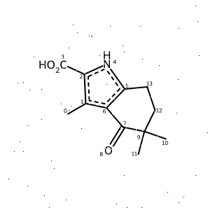 Cc1c(C(=O)O)[nH]c2c1C(=O)C(C)(C)CC2